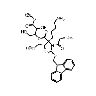 CCCCCCCCCCCC(=O)N(C(=O)OCC1c2ccccc2-c2ccccc21)[C@](CCCCN)(C(=O)CCCCCCCCCCC)C(=O)OC(CO)C(O)C(=O)OC(C)(C)C